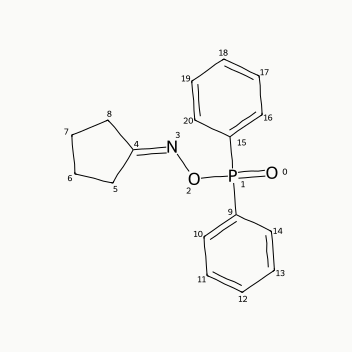 O=P(ON=C1CCCC1)(c1ccccc1)c1ccccc1